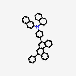 C1=CC2=C(CC1)C(N(c1ccc(-c3cc4cc(-c5ccccc5)c5ccccc5c4c4ccccc34)cc1)c1ccc3ccccc3c1)=CCC2